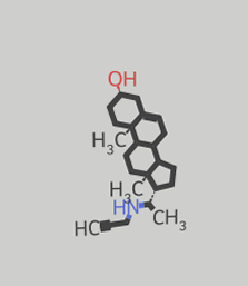 C#CCNC(C)[C@H]1CCC2C3CC=C4C[C@@H](O)CC[C@]4(C)C3CC[C@@]21C